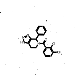 O=C(c1cccc(C(F)(F)F)c1Cl)N1CCc2[nH]nnc2C1c1ccccc1